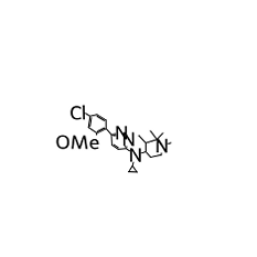 COc1cc(Cl)ccc1-c1ccc(N(C2CC2)C2CCN(C)C(C)(C)C2C)nn1